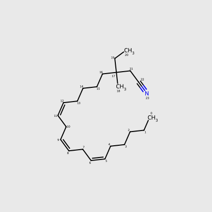 CCCCC/C=C\C/C=C\C/C=C\CCCCC(C)(CC)CC#N